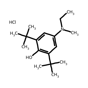 CCN(C)c1cc(C(C)(C)C)c(O)c(C(C)(C)C)c1.Cl